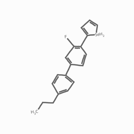 CCCc1ccc(-c2ccc(C3=CC=C[SeH2]3)c(F)c2)cc1